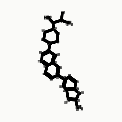 CC(N)C(O)N1CCN(c2cnc3ccc(-c4ccc5oc(N)nc5c4)cc3n2)CC1